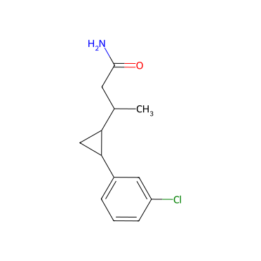 CC(CC(N)=O)C1CC1c1cccc(Cl)c1